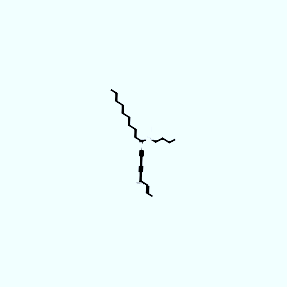 CC=C[C@H](O)C#CC#C[C@@H](CCCCCCCCC)NCCCC